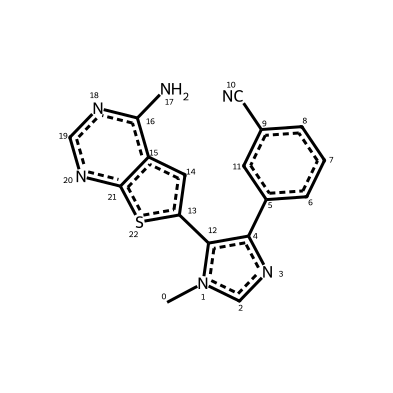 Cn1cnc(-c2cccc(C#N)c2)c1-c1cc2c(N)ncnc2s1